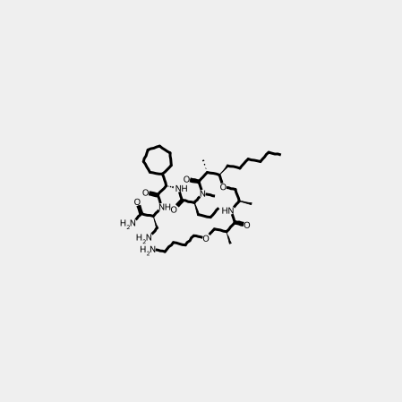 CCCCCC[C@@H](OC[C@@H](C)NC(=O)[C@@H](C)COCCCCN)[C@@H](C)C(=O)N(C)[C@@H](CCC)C(=O)N[C@H](C(=O)N[C@@H](CN)C(N)=O)C1CCCCCC1